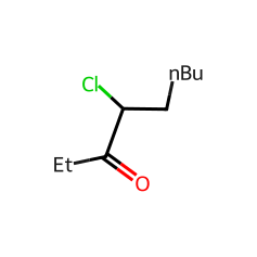 CCCCCC(Cl)C(=O)CC